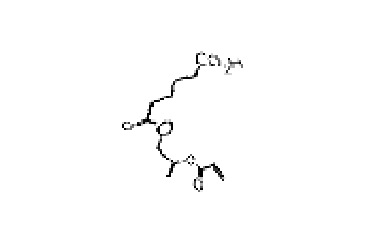 C=CC(=O)OC(C)COC(=O)CCCCC(=O)O